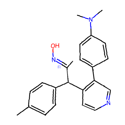 C/C(=N\O)C(c1ccc(C)cc1)c1ccncc1-c1ccc(N(C)C)cc1